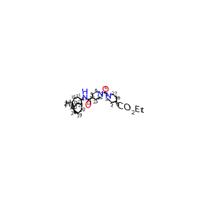 CCOC(=O)C1CCN(C(=O)N2CCC(C(=O)NC3CC[C@@H]4CC5CC3CC4C5)CC2)CC1